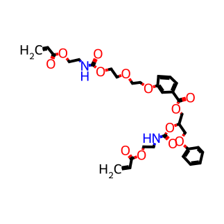 C=CC(=O)OCCNC(=O)OCCOCCOc1cccc(C(=O)OCC(COc2ccccc2)OC(=O)NCCOC(=O)C=C)c1